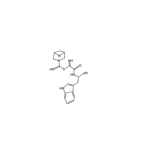 CCCC(Cc1c[nH]c2ccccc12)NC(=O)C(=N)SC(=N)N1CC2CC(C1)N2C